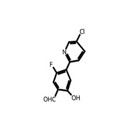 O=Cc1cc(F)c(-c2ccc(Cl)cn2)cc1O